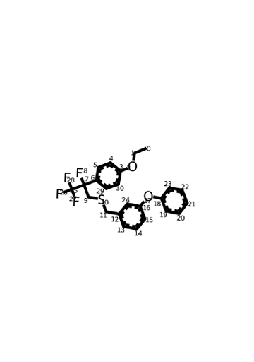 CCOc1ccc(C(F)(CSCc2cccc(Oc3ccccc3)c2)C(F)(F)F)cc1